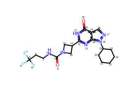 O=C(NCCC(F)(F)F)N1CC(c2nc3c(cnn3C3CCCCC3)c(=O)[nH]2)C1